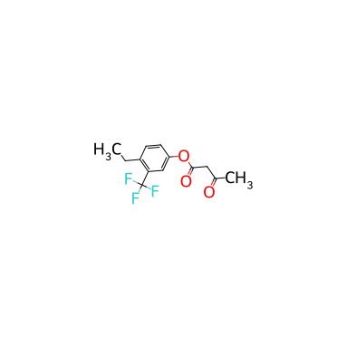 CCc1ccc(OC(=O)CC(C)=O)cc1C(F)(F)F